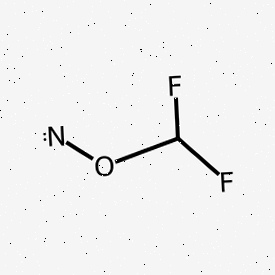 [N]OC(F)F